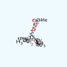 COC(=O)COCCOC/C=C/c1cc(CO[Si](C)(C)C(C)(C)C)cc(CO[Si](C)(C)C(C)(C)C)c1